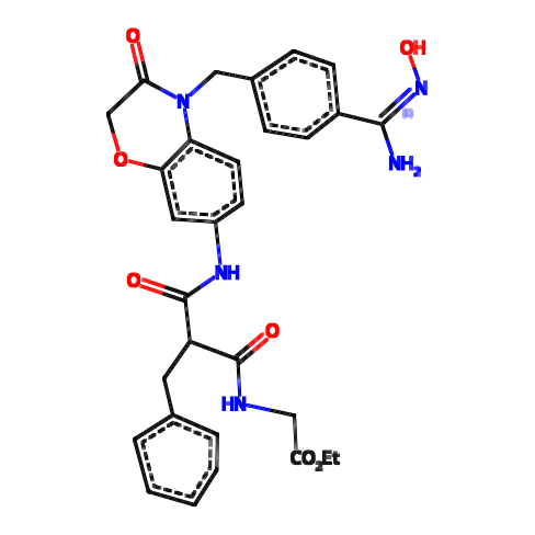 CCOC(=O)CNC(=O)C(Cc1ccccc1)C(=O)Nc1ccc2c(c1)OCC(=O)N2Cc1ccc(/C(N)=N\O)cc1